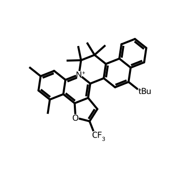 Cc1cc(C)c2c3oc(C(F)(F)F)cc3c3[n+](c2c1)C(C)(C)C(C)(C)c1c-3cc(C(C)(C)C)c2ccccc12